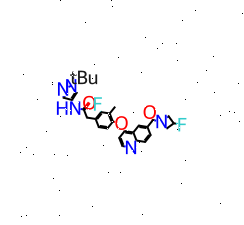 Cc1c(Oc2ccnc3ccc(C(=O)N4CC(F)C4)cc23)ccc(CC(=O)Nc2cnn(C(C)(C)C)c2)c1F